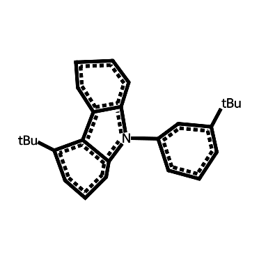 CC(C)(C)c1cccc(-n2c3ccccc3c3c(C(C)(C)C)cccc32)c1